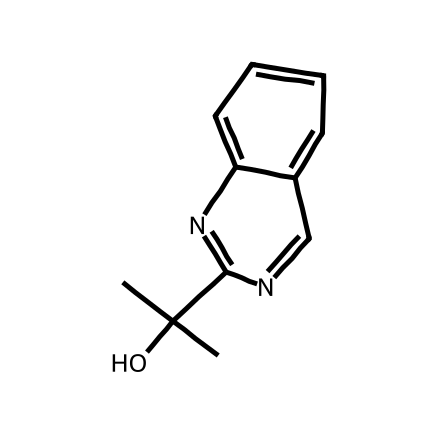 CC(C)(O)c1ncc2ccccc2n1